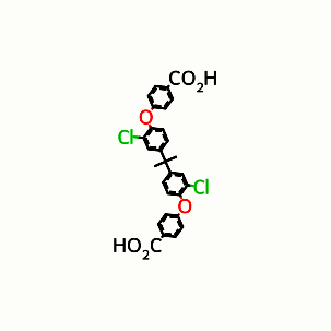 CC(C)(c1ccc(Oc2ccc(C(=O)O)cc2)c(Cl)c1)c1ccc(Oc2ccc(C(=O)O)cc2)c(Cl)c1